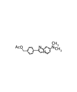 CC(=O)OCc1ccc(-c2cn3ccc(N(C)C)cc3n2)cc1